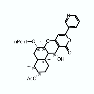 CCCCCO[C@H]1CC2[C@@H](C)[C@@H](OC(C)=O)CC[C@]2(C)C2[C@@H](O)c3c(cc(-c4cccnc4)oc3=O)O[C@@]21C